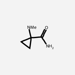 CNC1(C(N)=O)CC1